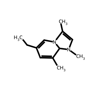 CCC1=CN2C(C)=CN(C)C2C(C)=C1